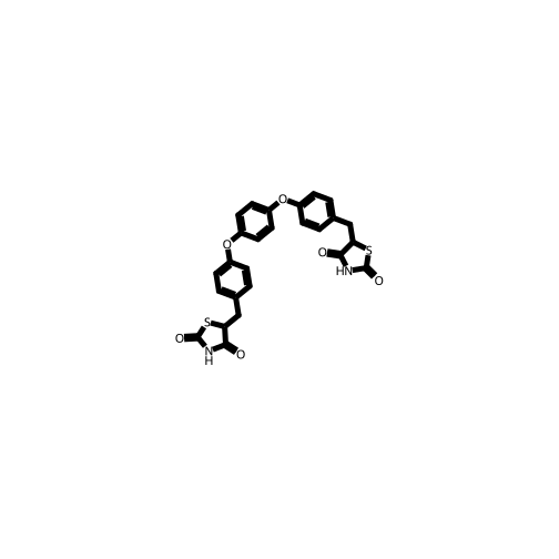 O=C1NC(=O)C(Cc2ccc(Oc3ccc(Oc4ccc(CC5SC(=O)NC5=O)cc4)cc3)cc2)S1